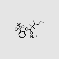 CCCC(C)C(C)(C)C(=O)Oc1ccccc1S(=O)(=O)[O-].[Na+]